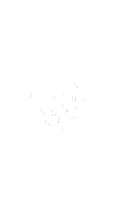 Cc1c(CN2CCC(F)(F)C2)n(C(C)C)c2cc(-c3nc(N[C@@H]4C[C@H]5CO[C@H](O5)[C@H]4O)ncc3F)ccc2c1=O